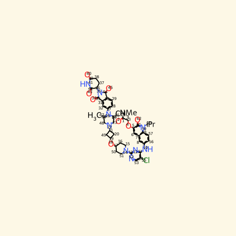 CNC(=O)COc1cc2cc(Nc3nc(N4CCC(O[C@H]5C[C@H](N6C[C@@H](C)N(c7ccc8c(c7)C(=O)N(C7CCC(=O)NC7=O)C8=O)[C@@H](C)C6)C5)CC4)ncc3Cl)ccc2n(C(C)C)c1=O